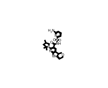 CC1CN(c2nc(C(C)(C)C)c(C3C=CCOC3)cc2C(=O)NS(=O)(=O)c2cccc(N)n2)C(C)(C)C1